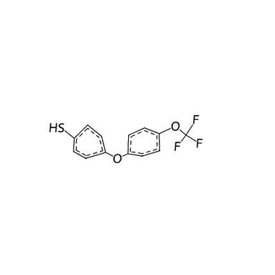 FC(F)(F)Oc1ccc(Oc2ccc(S)cc2)cc1